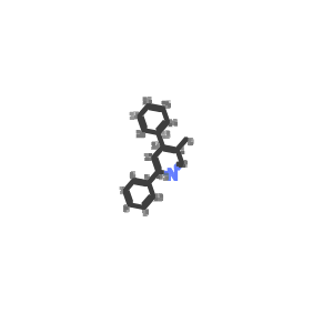 Cc1cnc(-c2ccccc2)cc1-c1ccccc1